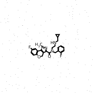 Cn1nc(C(=O)N(CCNCC2CC2)Cc2ccccc2F)c2c1-c1cc(F)ccc1OC2